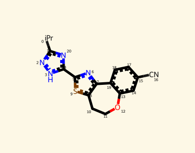 CC(C)c1n[nH]c(-c2nc3c(s2)CCOc2cc(C#N)ccc2-3)n1